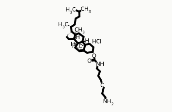 CC(C)CCC[C@@H](C)[C@H]1CC[C@H]2[C@@H]3CC=C4C[C@@H](OC(=O)NCCCCCCCCN)CC[C@]4(C)[C@H]3CC[C@]12C.Cl